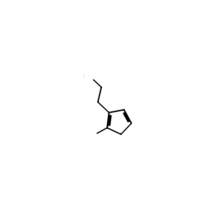 CCCC1=[C]([K])CC=C1